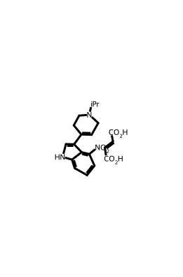 CC(C)N1CC=C(c2c[nH]c3cccc([N+](=O)[O-])c23)CC1.O=C(O)C=CC(=O)O